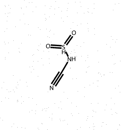 N#CN[SH](=O)=O